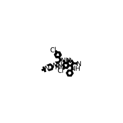 CC(C)(C)N1CCC(n2cc([C@@H](Nc3cc(Cl)cc4c(NC5CCCCC5)c(C#N)cnc34)c3ccc(Cl)cc3)nn2)CC1